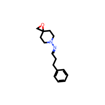 C(/CCc1ccccc1)=N\N1CCC2(CC1)CO2